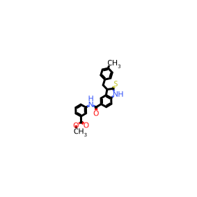 COC(=O)c1cccc(NC(=O)c2ccc3c(c2)C(Cc2ccc(C)cc2)C(=S)N3)c1